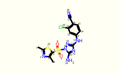 Cc1nc(C)c(S(=O)(=O)n2nc(Nc3ccc(C#N)c(Cl)c3)nc2N)s1